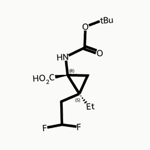 CC[C@@]1(CC(F)F)C[C@]1(NC(=O)OC(C)(C)C)C(=O)O